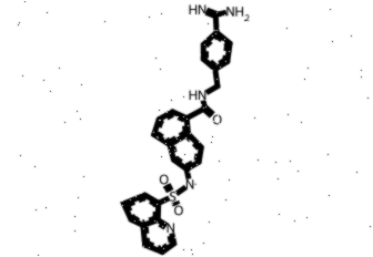 N=C(N)c1ccc(CNC(=O)c2cccc3cc([N]S(=O)(=O)c4cccc5cccnc45)ccc23)cc1